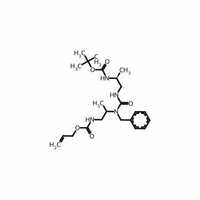 C=CCOC(=O)NCC(C)N(Cc1ccccc1)C(=O)NC[C@H](C)NC(=O)OC(C)(C)C